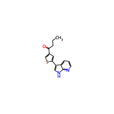 CCCC(=O)c1csc(-c2c[nH]c3ncccc23)c1